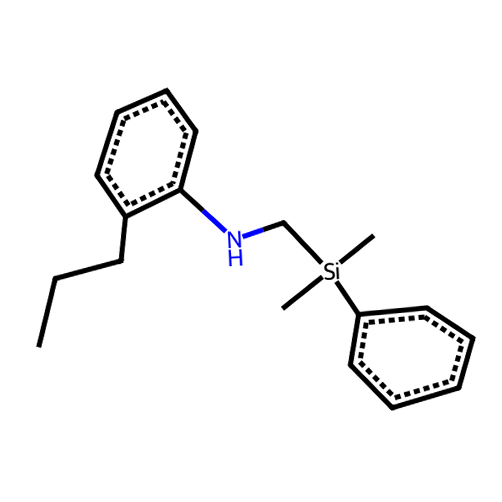 CCCc1ccccc1NC[Si](C)(C)c1ccccc1